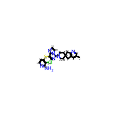 Cc1cnc2c(c1)CC1(CCN(c3ncc(Sc4ccnc(N)c4Cl)c4nccn34)CC1)C2